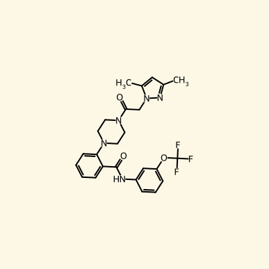 Cc1cc(C)n(CC(=O)N2CCN(c3ccccc3C(=O)Nc3cccc(OC(F)(F)F)c3)CC2)n1